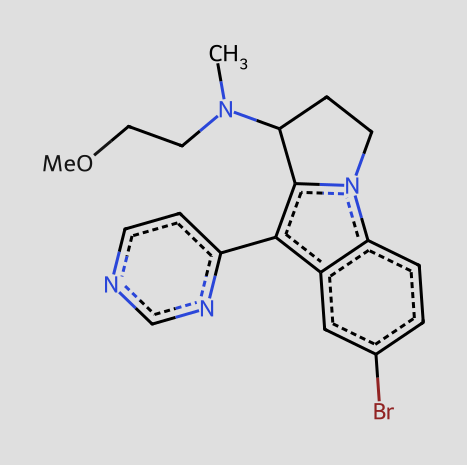 COCCN(C)C1CCn2c1c(-c1ccncn1)c1cc(Br)ccc12